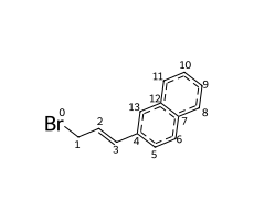 BrCC=Cc1ccc2ccccc2c1